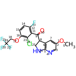 COc1cnc2c(c1)C(C(=O)c1c(F)ccc(OCC(F)(F)F)c1Cl)CN2